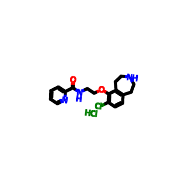 Cl.O=C(NCCOc1c(Cl)ccc2c1CCNCC2)c1ccccn1